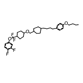 CCCCOc1ccc(CCCCC2CCC(COC3CCC(C(F)(F)Oc4ccc(F)c(F)c4)CC3)CC2)cc1